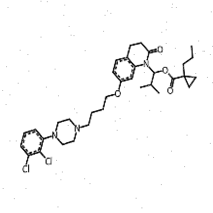 CCCC1(C(=O)OC(C(C)C)N2C(=O)CCc3ccc(OCCCCN4CCN(c5cccc(Cl)c5Cl)CC4)cc32)CC1